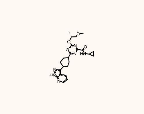 COC[C@@H](C)Oc1nc(C(=O)NC2CC2)nc(C2CCC(c3n[nH]c4ncccc34)CC2)n1